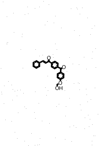 O=C(C=Cc1ccccc1)c1ccc(C(=O)c2ccc(OCO)cc2)cc1